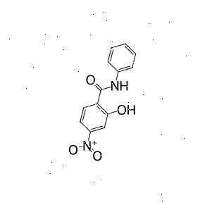 O=C(Nc1ccccc1)c1ccc([N+](=O)[O-])cc1O